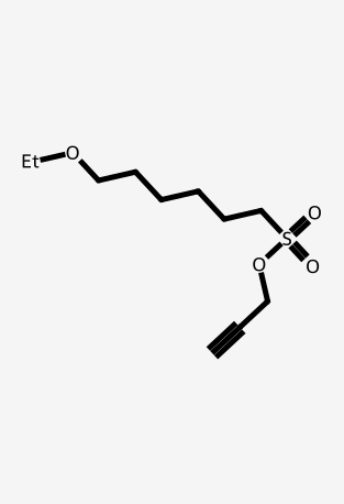 C#CCOS(=O)(=O)CCCCCCOCC